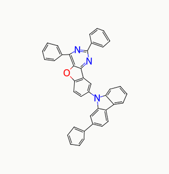 c1ccc(-c2ccc3c4ccccc4n(-c4ccc5oc6c(-c7ccccc7)nc(-c7ccccc7)nc6c5c4)c3c2)cc1